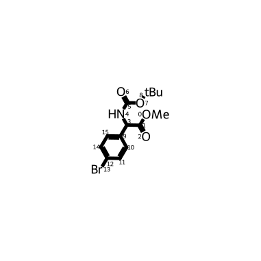 COC(=O)C(NC(=O)OC(C)(C)C)c1ccc(Br)cc1